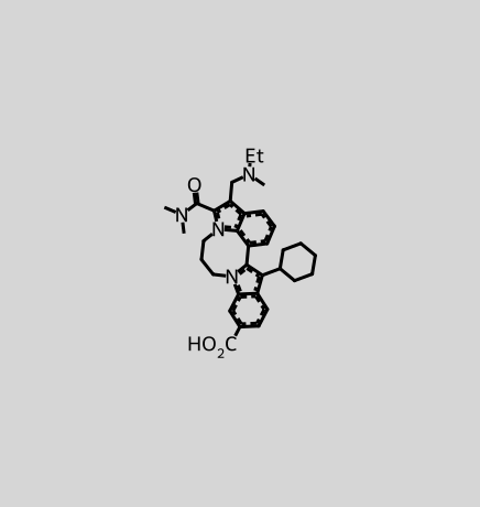 CCN(C)Cc1c(C(=O)N(C)C)n2c3c(cccc13)-c1c(C3CCCCC3)c3ccc(C(=O)O)cc3n1CCC2